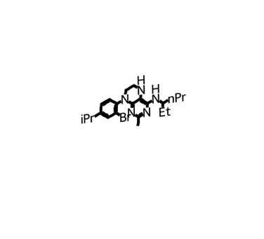 CCCC(CC)Nc1nc(C)nc2c1NCCN2c1ccc(C(C)C)cc1Br